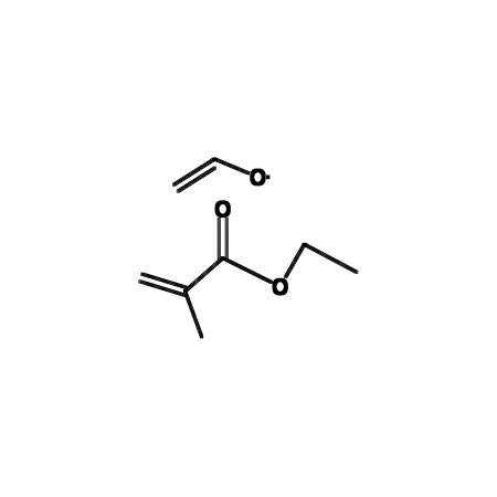 C=C(C)C(=O)OCC.C=C[O]